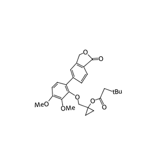 COc1ccc(-c2ccc3c(c2)COC3=O)c(OCC2(OC(=O)CC(C)(C)C)CC2)c1OC